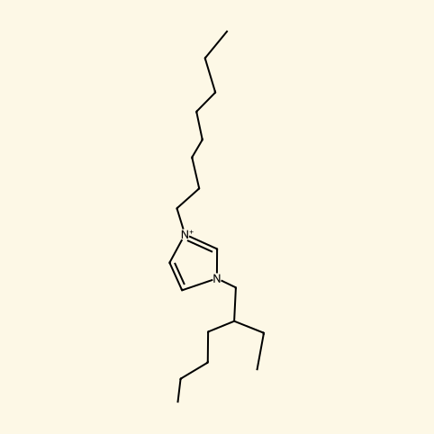 CCCCCCCC[n+]1ccn(CC(CC)CCCC)c1